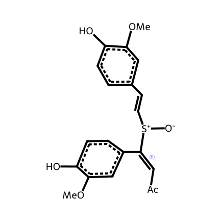 COc1cc(C=C[S+]([O-])/C(=C/C(C)=O)c2ccc(O)c(OC)c2)ccc1O